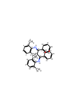 Cc1cccc(C)c1/N=C(\C/C(=N\c1c(C)cccc1C)c1ccccc1)c1ccccc1